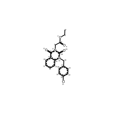 CCOC(=O)Cn1c(=O)c2ccccc2n(Cc2ccc(Cl)cc2)c1=O